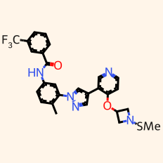 CSN1CC(Oc2ccncc2-c2cnn(-c3cc(NC(=O)c4cccc(C(F)(F)F)c4)ccc3C)c2)C1